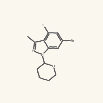 Cc1nn(C2CCCCO2)c2cc(Br)cc(F)c12